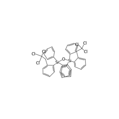 ClC(Cl)(Cl)Cc1ccccc1[Si](O[Si](c1ccccc1)(c1ccccc1)c1ccccc1CC(Cl)(Cl)Cl)(c1ccccc1)c1ccccc1